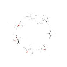 CO[C@H]1[C@H](OC)[C@@H]2O[C@H]3[C@@H](OC)[C@H](OC)[C@@H](O[C@H]4[C@@H](OC)[C@H](OC)[C@@H](O[C@H]5[C@@H](OC)[C@H](OC)[C@@H](O[C@H]6[C@@H](OC)[C@H](OC)[C@@H](O[C@H]7[C@@H](O)[C@H](OC)[C@@H](O[C@H]8[C@@H](O)[C@H](OC)[C@@H](O[C@@H]1[C@@H](CO)O2)O[C@@H]8CO)O[C@@H]7CO)O[C@@H]6CO)O[C@@H]5CO)O[C@@H]4CO)O[C@@H]3CO